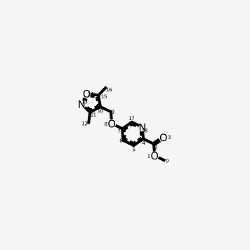 COC(=O)c1ccc(OCc2c(C)noc2C)cn1